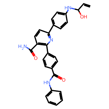 C=CC(O)Nc1ccc(-c2ccc(C(N)=O)c(-c3ccc(C(=O)Nc4ccccc4)cc3)n2)cc1